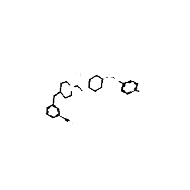 Cl.N#Cc1cccc(CC2CCN(CC[C@H]3CC[C@H](NS(=O)(=O)c4ccc(Cl)cc4)CC3)CC2)c1